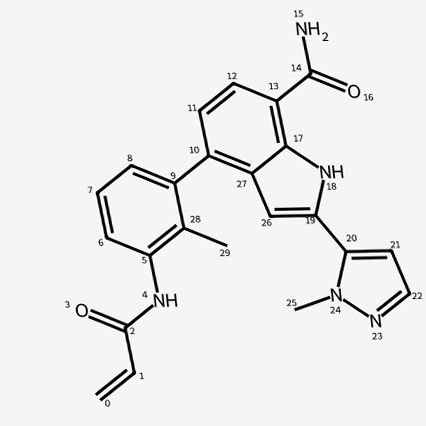 C=CC(=O)Nc1cccc(-c2ccc(C(N)=O)c3[nH]c(-c4ccnn4C)cc23)c1C